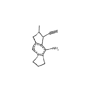 C#CC1c2c(cc3c(c2N)CCC3)CC1C